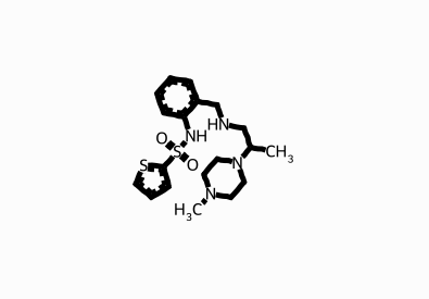 CC(CNCc1ccccc1NS(=O)(=O)c1cccs1)N1CCN(C)CC1